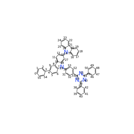 c1ccc(-c2ccc3c(c2)c2ccc(-n4c5ccccc5c5ccccc54)cc2n3-c2ccc(-c3nc(-c4ccccc4)nc(-c4ccccc4)n3)cc2)cc1